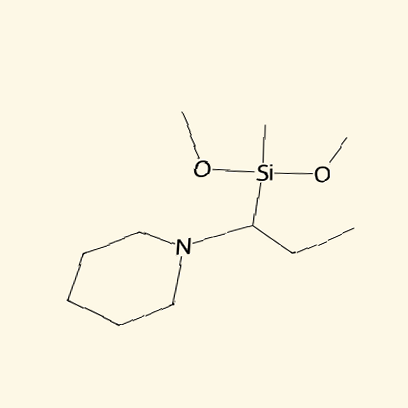 CCC(N1CCCCC1)[Si](C)(OC)OC